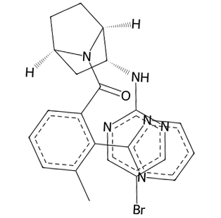 Cc1cccc(C(=O)N2[C@@H]3CC[C@H]2[C@H](Nc2ncc(Br)cn2)C3)c1-c1ncccn1